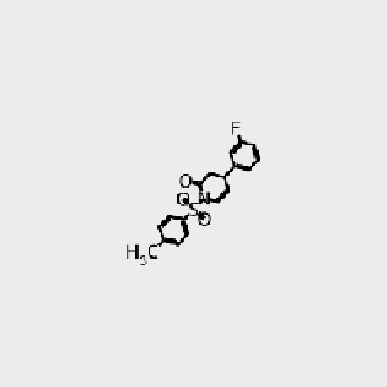 Cc1ccc(S(=O)(=O)N2C=CC(c3cccc(F)c3)CC2=O)cc1